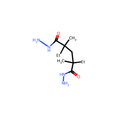 CCC(C)(CC(C)(CC)C(=O)NN)C(=O)NN